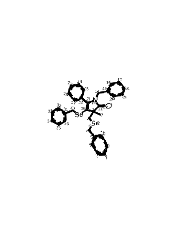 CC1(C[Se]Cc2ccccc2)C(=O)N(Cc2ccccc2)C(c2ccccc2)=C1[Se]Cc1ccccc1